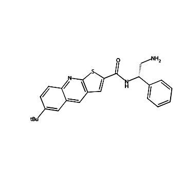 CC(C)(C)c1ccc2nc3sc(C(=O)N[C@H](CN)c4ccccc4)cc3cc2c1